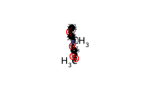 COC(=O)Cc1ccc(OC/C=C(\C)c2ccc(Oc3ccccc3)cc2)cc1